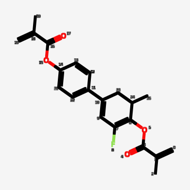 C=C(C)C(=O)OC1=C(F)C=C(c2ccc(OC(=O)C(=C)C)cc2)CC1C